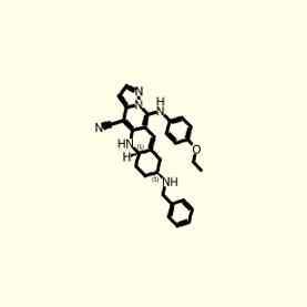 CCOc1ccc(Nc2c3c(c(C#N)c4ccnn24)N[C@H]2CC[C@H](NCc4ccccc4)CC2=C3)cc1